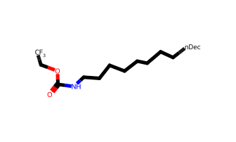 CCCCCCCCCCCCCCCCCCNC(=O)OCC(F)(F)F